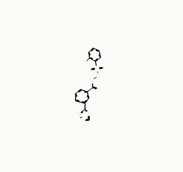 O=C(NNS(=O)(=O)c1ccccc1F)c1cccc(-c2ncon2)c1